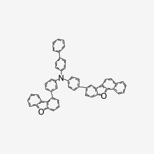 c1ccc(-c2ccc(N(c3ccc(-c4ccc5oc6c7ccccc7ccc6c5c4)cc3)c3cccc(-c4cccc5oc6ccccc6c45)c3)cc2)cc1